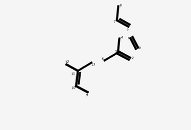 C=C.C=C(C)C.C=CC.CC=C(C)C